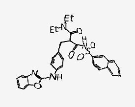 CCN(CC)C(=O)C(Cc1ccc(Nc2nc3ccccc3o2)cc1)C(=O)NS(=O)(=O)c1ccc2ccccc2c1